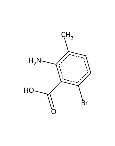 Cc1ccc(Br)c(C(=O)O)c1N